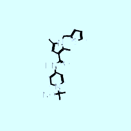 Cc1cc(C(=O)NC2=CCN(C(C)(C)C#N)C=C2)c(C)n1Cc1cccs1